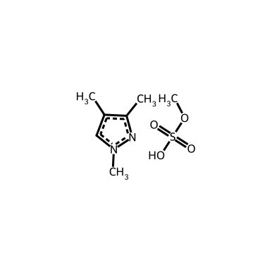 COS(=O)(=O)O.Cc1cn(C)nc1C